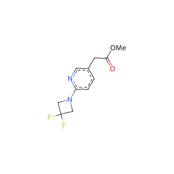 COC(=O)Cc1ccc(N2CC(F)(F)C2)nc1